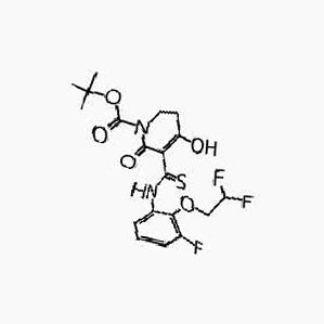 CC(C)(C)OC(=O)N1CCC(O)=C(C(=S)Nc2cccc(F)c2OCC(F)F)C1=O